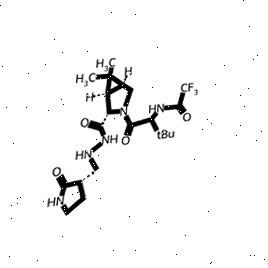 CC(C)(C)C(NC(=O)C(F)(F)F)C(=O)N1C[C@H]2[C@@H]([C@H]1C(=O)NNC[C@@H]1CCNC1=O)C2(C)C